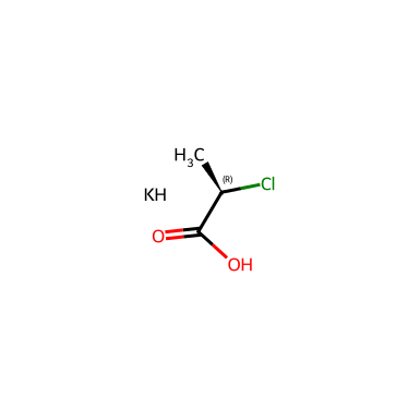 C[C@@H](Cl)C(=O)O.[KH]